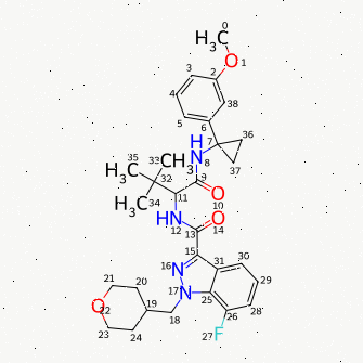 COc1cccc(C2(NC(=O)C(NC(=O)c3nn(CC4CCOCC4)c4c(F)cccc34)C(C)(C)C)CC2)c1